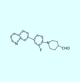 O=CC1CCN(c2ccc(-c3ccc4cccnc4c3)cc2F)CC1